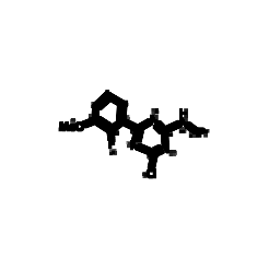 COc1cccc(-c2nc(Cl)nc(NC(C)C)n2)c1F